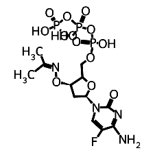 CC(C)=NO[C@@H]1C[C@H](n2cc(F)c(N)nc2=O)OC1COP(=O)(O)OP(=O)(O)OP(=O)(O)O